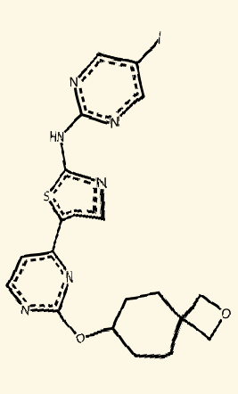 Ic1cnc(Nc2ncc(-c3ccnc(OC4CCC5(CC4)COC5)n3)s2)nc1